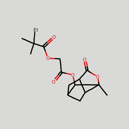 CCC(C)(C)C(=O)OCC(=O)OC1C2CC3C(=O)OC1(C)C3C2